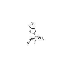 CO[C@H](c1ccc(SC)cc1)[C@@H](CF)N=[N+]=[N-]